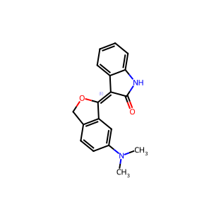 CN(C)c1ccc2c(c1)/C(=C1\C(=O)Nc3ccccc31)OC2